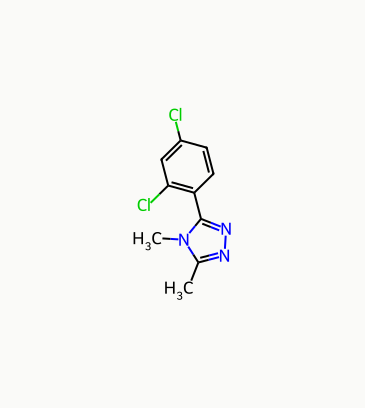 Cc1nnc(-c2ccc(Cl)cc2Cl)n1C